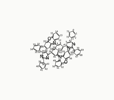 c1ccc(-c2cc(-c3cc(N4c5ccccc5Oc5ccccc54)c4cc(-c5cc(-c6ccccc6)nc(-c6ccccc6)n5)cc(N5c6ccccc6Oc6ccccc65)c4c3)nc(-c3ccccc3)n2)cc1